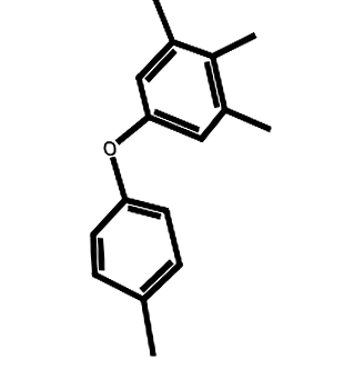 Cc1ccc(Oc2cc(C)c(C)c(C)c2)cc1